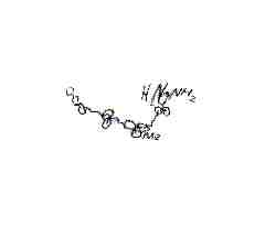 COc1cc(/C=C/C(=O)OCCCCOc2ccc(C3CCCCC3)cc2)ccc1OCCCCCCOC(=O)c1cc(N)cc(N)c1